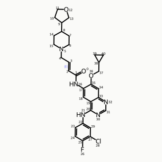 O=C(/C=C/CN1CCC(C2CCOC2)CC1)Nc1cc2c(Nc3ccc(F)c(Cl)c3)ncnc2cc1OCC1CC1